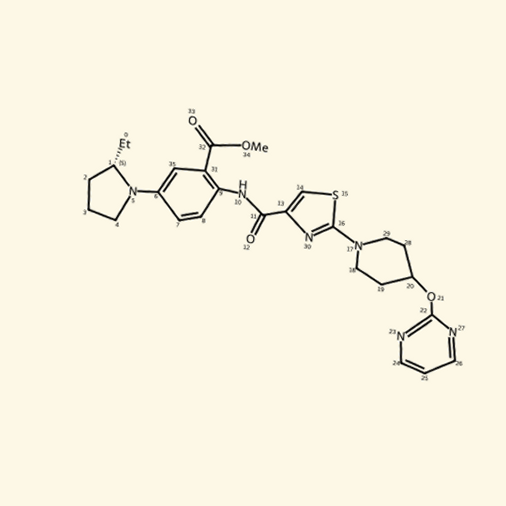 CC[C@H]1CCCN1c1ccc(NC(=O)c2csc(N3CCC(Oc4ncccn4)CC3)n2)c(C(=O)OC)c1